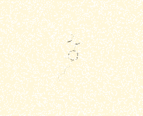 C=C(C(N)=O)c1ccc(OCCOCC)nc1